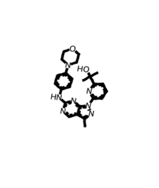 Cc1nn(-c2cccc(C(C)(C)O)n2)c2nc(Nc3ccc(N4CCOCC4)cc3)ncc12